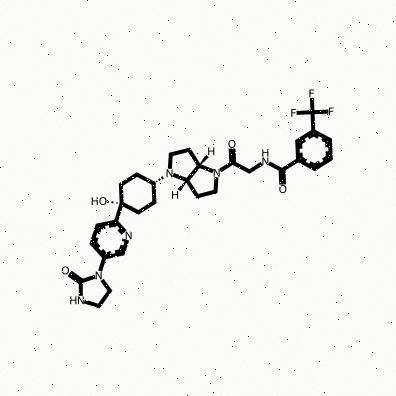 O=C(NCC(=O)N1CC[C@H]2[C@@H]1CCN2[C@H]1CC[C@](O)(c2ccc(N3CCNC3=O)cn2)CC1)c1cccc(C(F)(F)F)c1